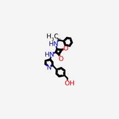 C[C@@H](Nc1c(Nc2ccnc(-c3ccc(CO)cc3)c2)c(=O)c1=O)c1ccccc1